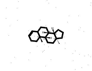 C[C@@]12CCC[C@H]1[C@H]1CCC3C=CCC[C@@]3(C)[C@H]1CC2